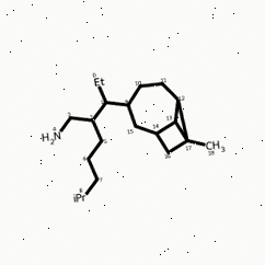 CCC(C(CN)CCCC(C)C)C1CCC2C3C(C1)CC23C